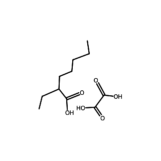 CCCCCC(CC)C(=O)O.O=C(O)C(=O)O